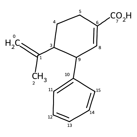 C=C(C)C1CCC(C(=O)O)=CC1c1ccccc1